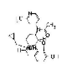 CC(=O)N(c1ccnc(C)c1)[C@@H]1CC[C@@]2(O)[C@H]3Cc4ccc(O)c5c4[C@@]2(CCN3CC2CC2)[C@H]1O5